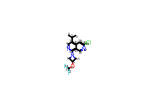 CC(C)c1cnc(N2CC(OC(F)F)C2)c2cnc(Cl)cc12